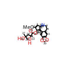 COC1=CC23CCCN2CCc2cc4c(cc2[C@@H]3C1OC(=O)[C@@](C)(O)CC(C)(C)O)OCO4